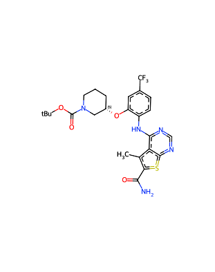 Cc1c(C(N)=O)sc2ncnc(Nc3ccc(C(F)(F)F)cc3O[C@H]3CCCN(C(=O)OC(C)(C)C)C3)c12